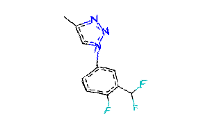 Cc1cn(-c2ccc(F)c(C(F)F)c2)nn1